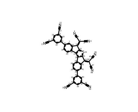 N#CC(C#N)=C1c2cc(-c3cc(C#N)cc(C#N)c3)ccc2-c2c1sc1c2-c2ccc(-c3cc(C#N)cc(C#N)c3)cc2C1=C(C#N)C#N